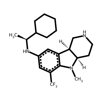 C[C@H](Nc1cc2c(c(C(F)(F)F)c1)N(C)[C@@H]1CCNC[C@H]21)C1CCCCC1